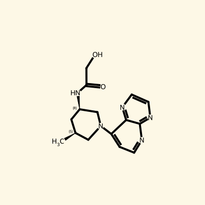 C[C@H]1C[C@@H](NC(=O)CO)CN(c2ccnc3nccnc23)C1